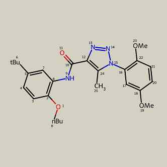 CCCCOc1ccc(C(C)(C)C)cc1NC(=O)c1nnn(-c2cc(OC)ccc2OC)c1C